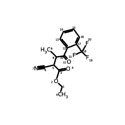 CCOC(=O)C(C#N)C(C)C(=O)c1ccccc1C(F)(F)F